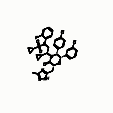 Cc1n[nH]c(C[C@H]2O[C@@H](c3cccc(Cl)c3)[C@@H](c3ccc(Cl)cc3)N(C(CN(c3ccccc3F)S(=O)(=O)C3CC3)C3CC3)C2=O)n1